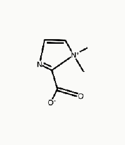 C[N+]1(C)C=CN=C1C(=O)[O-]